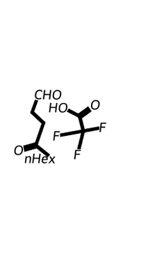 CCCCCCC(=O)CCC=O.O=C(O)C(F)(F)F